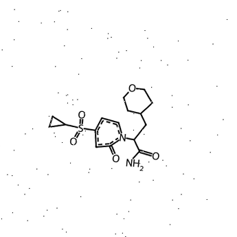 NC(=O)C(CC1CCOCC1)n1ccc(S(=O)(=O)C2CC2)cc1=O